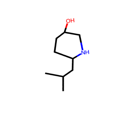 CC(C)CC1CCC(O)CN1